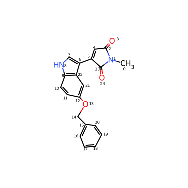 CN1C(=O)C=C(c2c[nH]c3ccc(OCc4ccccc4)cc23)C1=O